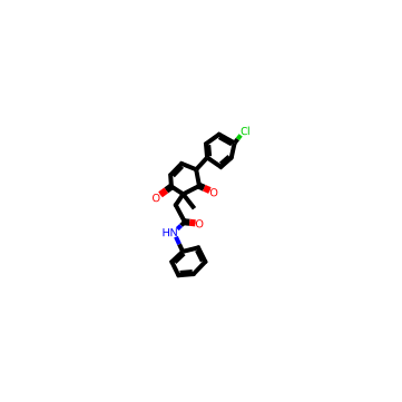 CC1(CC(=O)Nc2ccccc2)C(=O)C=CC(c2ccc(Cl)cc2)C1=O